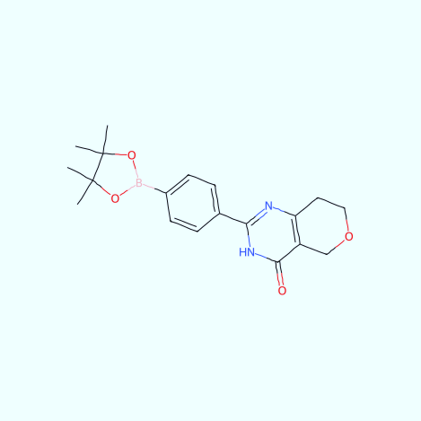 CC1(C)OB(c2ccc(-c3nc4c(c(=O)[nH]3)COCC4)cc2)OC1(C)C